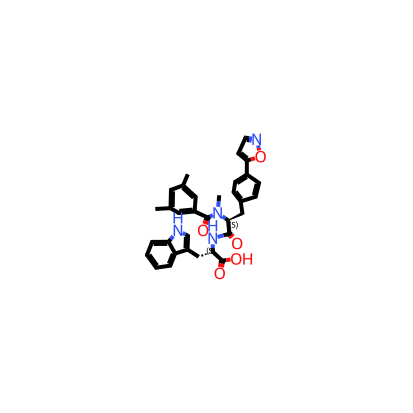 Cc1cc(C)cc(C(=O)N(C)[C@@H](Cc2ccc(-c3ccno3)cc2)C(=O)N[C@@H](Cc2c[nH]c3ccccc23)C(=O)O)c1